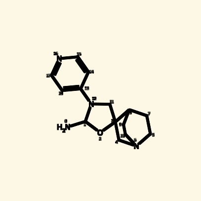 NC1OC2(CN3CCC2CC3)CN1c1ccncc1